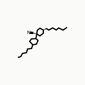 CCCCCCC[C@H]1CC[C@](C#N)(C2CCC(CCCCCC)CC2)CC1